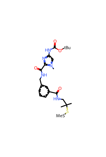 CSSC(C)(C)CNC(=O)c1cccc(CNC(=O)c2nc(NC(=O)OC(C)(C)C)cn2C)c1